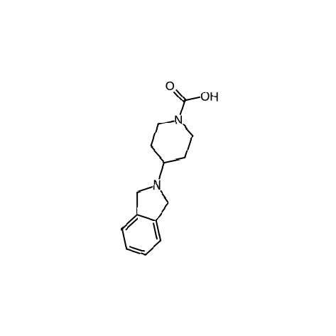 O=C(O)N1CCC(N2Cc3ccccc3C2)CC1